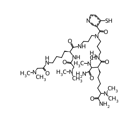 CN(C)CC(=O)NCCCC[C@H](NC(=O)CN(C)C)C(=O)NCCCN(CCCNC(=O)[C@@H](CCCCC(C(N)=O)N(C)C)C(C(N)=O)N(C)C)C(=O)c1cnccc1S